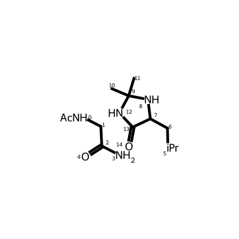 CC(=O)NCC(N)=O.CC(C)CC1NC(C)(C)NC1=O